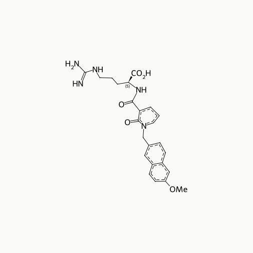 COc1ccc2cc(Cn3cccc(C(=O)N[C@@H](CCCNC(=N)N)C(=O)O)c3=O)ccc2c1